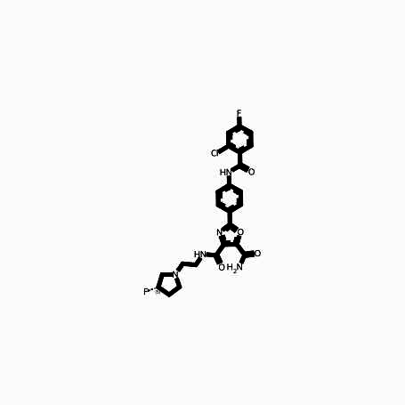 NC(=O)c1oc(-c2ccc(NC(=O)c3ccc(F)cc3Cl)cc2)nc1C(=O)NCCN1CC[C@H](F)C1